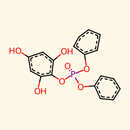 O=P(Oc1ccccc1)(Oc1ccccc1)Oc1c(O)cc(O)cc1O